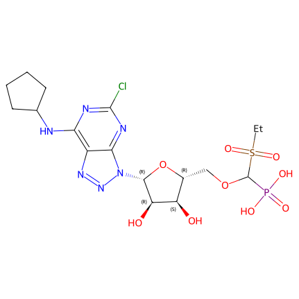 CCS(=O)(=O)C(OC[C@H]1O[C@@H](n2nnc3c(NC4CCCC4)nc(Cl)nc32)[C@H](O)[C@@H]1O)P(=O)(O)O